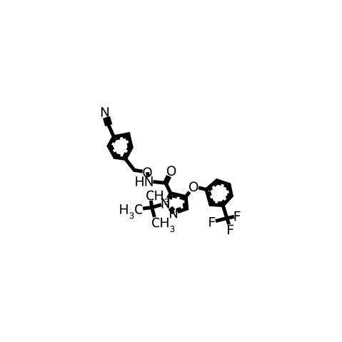 CC(C)(C)n1ncc(Oc2cccc(C(F)(F)F)c2)c1C(=O)NOCc1ccc(C#N)cc1